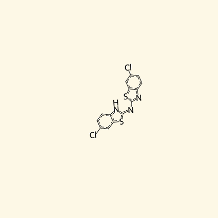 Clc1ccc2nc(N=c3[nH]c4ccc(Cl)cc4s3)sc2c1